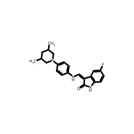 CC1CC(C)CN(c2ccc(NC=C3C(=O)Nc4ccc(F)cc43)cc2)C1